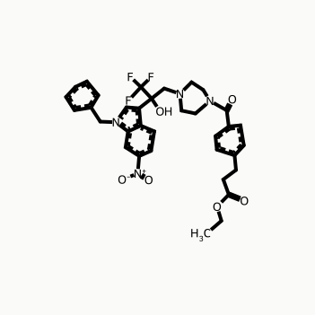 CCOC(=O)CCc1ccc(C(=O)N2CCN(CC(O)(c3cn(Cc4ccccc4)c4cc([N+](=O)[O-])ccc34)C(F)(F)F)CC2)cc1